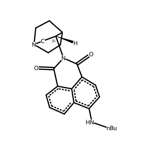 CCCCNc1ccc2c3c(cccc13)C(=O)N([C@@H]1CN3CCC1CC3)C2=O